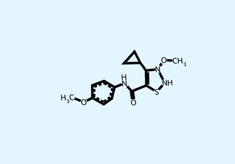 COc1ccc(NC(=O)C2=C(C3CC3)N(OC)NS2)cc1